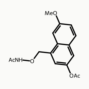 COc1ccc2cc(OC(C)=O)cc(CONC(C)=O)c2c1